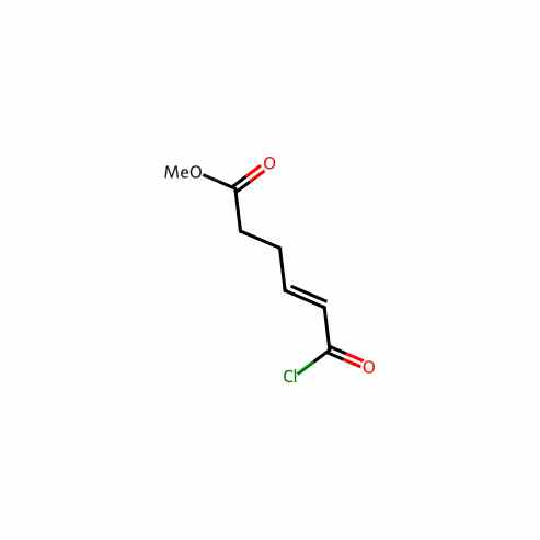 COC(=O)CCC=CC(=O)Cl